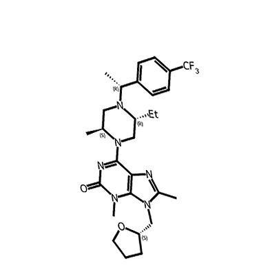 CC[C@@H]1CN(c2nc(=O)n(C)c3c2nc(C)n3C[C@@H]2CCCO2)[C@@H](C)CN1[C@H](C)c1ccc(C(F)(F)F)cc1